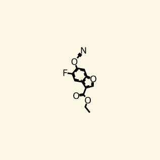 CCOC(=O)c1coc2cc(OC#N)c(F)cc12